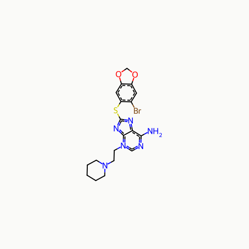 Nc1ncn(CCN2CCCCC2)c2nc(Sc3cc4c(cc3Br)OCO4)nc1-2